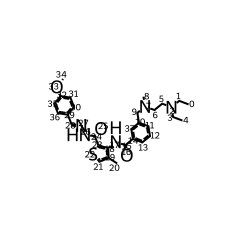 CCN(CC)CCN(C)Cc1cccc(C(=O)Nc2c(C)csc2C(=O)N/N=C/c2ccc(OC)cc2)c1